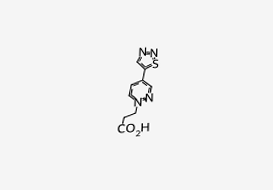 O=C(O)CC[n+]1ccc(-c2cnns2)cn1